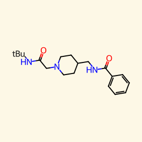 CC(C)(C)NC(=O)CN1CCC(CNC(=O)c2ccccc2)CC1